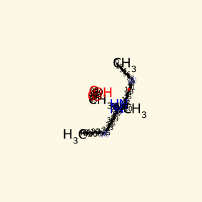 CCCCCCCC/C=C\CCCCCCCCNC(C)CN1CCN=C1CCCCCCCC/C=C\CCCCCCCC.COS(=O)(=O)O